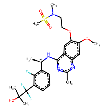 COc1cc2nc(C)nc(N[C@H](C)c3cccc(C(F)(F)C(C)(C)O)c3F)c2cc1OCCN(C)S(C)(=O)=O